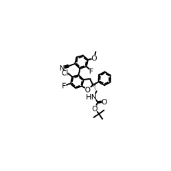 COc1ccc(C#N)c(-c2c(Cl)c(F)cc3c2C[C@@](CNC(=O)OC(C)(C)C)(c2ccccc2)O3)c1F